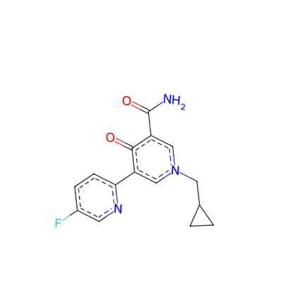 NC(=O)c1cn(CC2CC2)cc(-c2ccc(F)cn2)c1=O